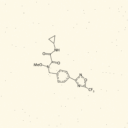 CON(Cc1ccc(-c2noc(C(F)(F)F)n2)cc1)C(=O)C(=O)NC1CC1